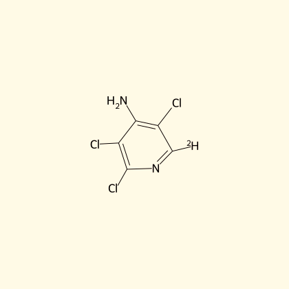 [2H]c1nc(Cl)c(Cl)c(N)c1Cl